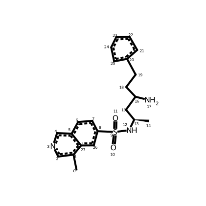 Cc1cncc2ccc(S(=O)(=O)N[C@H](C)CC(N)CCc3ccccc3)cc12